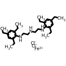 CCc1cc(CC)c(NCCNCCNc2c(CC)cc(CC)cc2CC)c(CC)c1.[Cl-].[Cl-].[Fe+2]